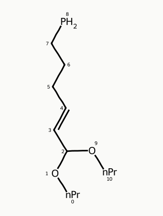 CCCOC(/C=C/CCCP)OCCC